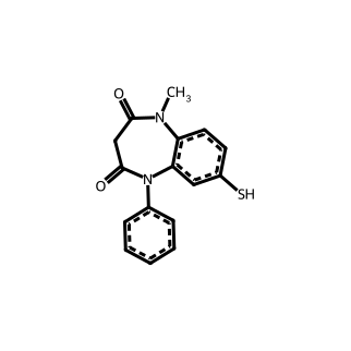 CN1C(=O)CC(=O)N(c2ccccc2)c2cc(S)ccc21